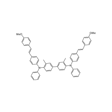 COc1ccc(C=Cc2ccc(N(c3ccccc3)c3ccc(-c4ccc(N(c5ccccc5)c5ccc(C=Cc6ccc(OC)cc6)cc5)c(C)c4)cc3C)cc2)cc1